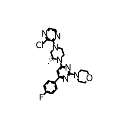 C[C@@H]1CN(c2nccnc2Cl)CCN1c1cc(-c2ccc(F)cc2)nc(N2CCOCC2)n1